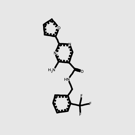 Nc1nc(-c2ccco2)ncc1C(=O)NCc1ccccc1C(F)(F)F